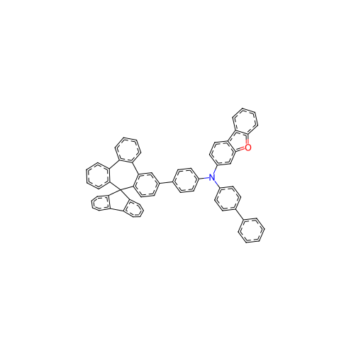 c1ccc(-c2ccc(N(c3ccc(-c4ccc5c(c4)-c4ccccc4-c4ccccc4C54c5ccccc5-c5ccccc54)cc3)c3ccc4c(c3)oc3ccccc34)cc2)cc1